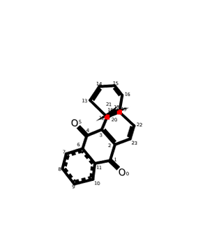 O=C1C2=C(C(=O)c3ccccc31)C13C=CC=CC1(C=CC=C3)C=C2